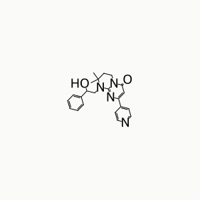 CC1(C)CCn2c(nc(-c3ccncc3)cc2=O)N1CC(O)c1ccccc1